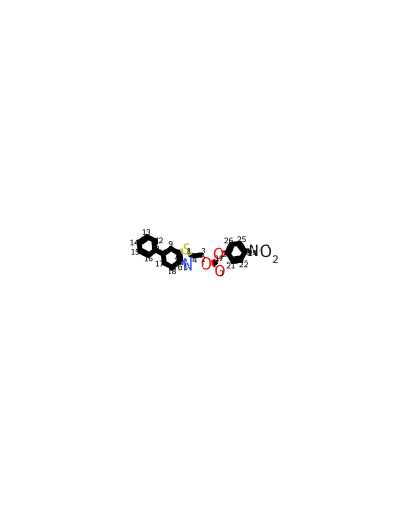 O=C(OCc1nc2c(s1)CC(c1ccccc1)CC2)Oc1ccc([N+](=O)[O-])cc1